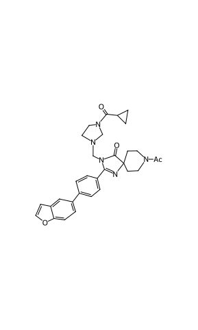 CC(=O)N1CCC2(CC1)N=C(c1ccc(-c3ccc4occc4c3)cc1)N(CN1CCN(C(=O)C3CC3)C1)C2=O